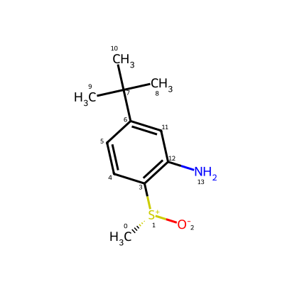 C[S@@+]([O-])c1ccc(C(C)(C)C)cc1N